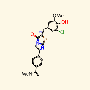 C=C(NC)c1ccc(-c2cn3c(=O)/c(=C/c4cc(Cl)c(O)c(OC)c4)sc3n2)cc1